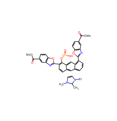 CCN1C=CN(C)C1C.COC(=O)c1ccc2oc(-c3ccc4cc5cccc(-c6nc7cc(C(=O)OC)ccc7o6)c5cc4c3O[PH](=O)O)nc2c1